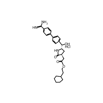 Cl.N=C(N)c1ccc(-c2ccc(C(O)[C@@H]3C[C@@H](CC(=O)OCCC4CCCCC4)C(=O)N3)cc2)cc1